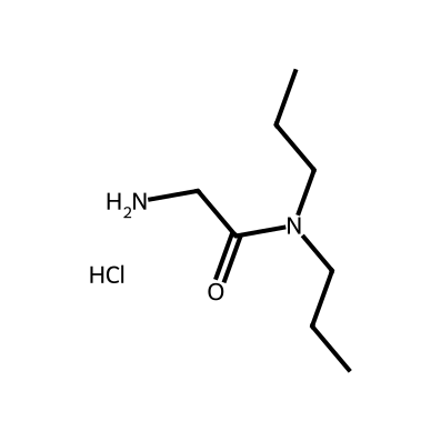 CCCN(CCC)C(=O)CN.Cl